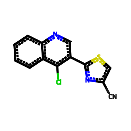 N#Cc1csc(-c2[c]nc3ccccc3c2Cl)n1